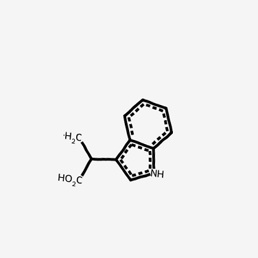 [CH2]C(C(=O)O)c1c[nH]c2ccccc12